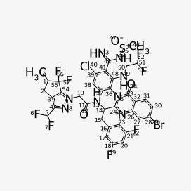 CC1Cc2c(C(F)F)nn(CC(=O)NC(Cc3cc(F)cc(F)c3)c3nc4cc(Br)ccc4c(=O)n3-c3ccc(Cl)c(C(=N)N[S+](C)[O-])c3NCC(F)F)c2C1(F)F